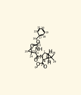 COC(=O)[C@@H]1[C@@H]2[C@H](CN1C(=O)C(NC(=O)OCc1ccccc1)C1(C)CC1)C2(C)C